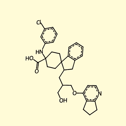 O=C(O)C1(Nc2cccc(Cl)c2)CCC2(CC1)c1ccccc1CC2CC(CO)COc1ccnc2c1CCC2